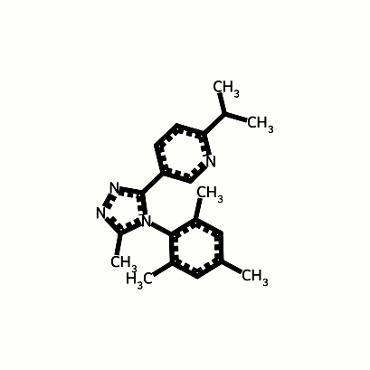 Cc1cc(C)c(-n2c(C)nnc2-c2ccc(C(C)C)nc2)c(C)c1